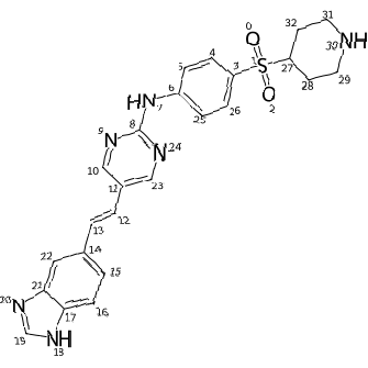 O=S(=O)(c1ccc(Nc2ncc(/C=C/c3ccc4[nH]cnc4c3)cn2)cc1)C1CCNCC1